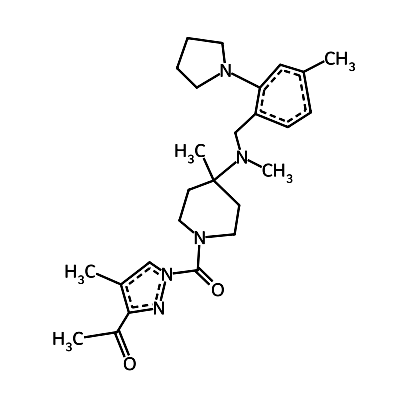 CC(=O)c1nn(C(=O)N2CCC(C)(N(C)Cc3ccc(C)cc3N3CCCC3)CC2)cc1C